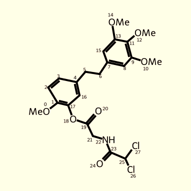 COc1ccc(CCc2cc(OC)c(OC)c(OC)c2)cc1OC(=O)CNC(=O)C(Cl)Cl